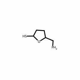 PCC1CCC(S)O1